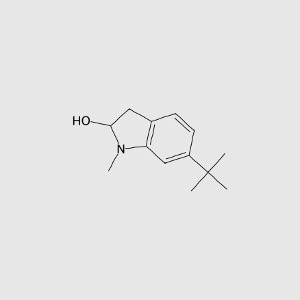 CN1c2cc(C(C)(C)C)ccc2CC1O